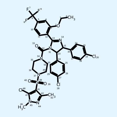 CCOc1cc(C(F)(F)F)ccc1C1=NC(c2ccc(Cl)cc2)C(c2ccc(Cl)cc2)N1C(=O)N1CCN(S(=O)(=O)c2c(C)nn(C)c2Cl)CC1